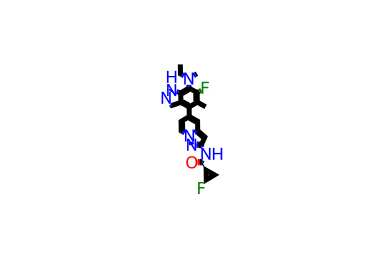 CCN(C)c1c(F)c(C)c(-c2ccn3nc(NC(=O)[C@@H]4C[C@@H]4F)cc3c2)c2cn[nH]c12